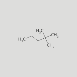 [CH2]C(C)(C)[CH]CC